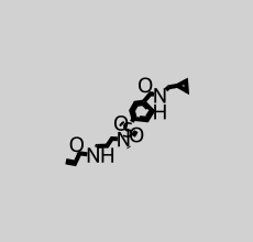 C=CC(=O)NCCCN(C)S(=O)(=O)c1ccc(C(=O)NCC2CC2)cc1